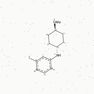 CO[C@H]1CC[C@H](Nc2cc(C)ncn2)CC1